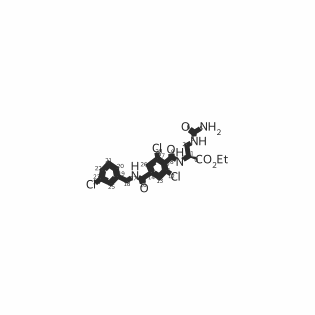 CCOC(=O)[C@H](CNC(N)=O)NC(=O)c1c(Cl)cc(C(=O)NCc2cccc(Cl)c2)cc1Cl